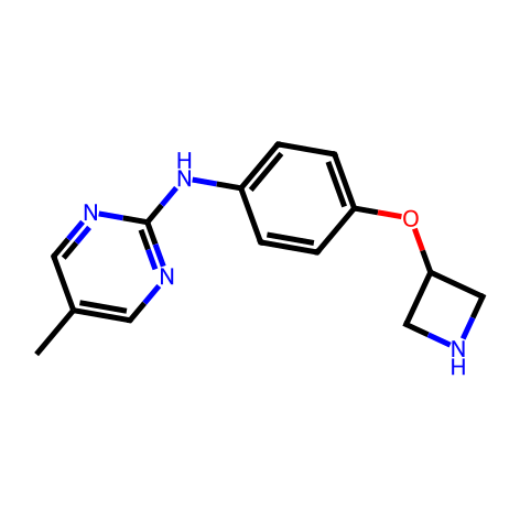 Cc1cnc(Nc2ccc(OC3CNC3)cc2)nc1